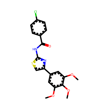 COc1cc(-c2csc(NC(=O)c3ccc(Cl)cc3)n2)cc(OC)c1OC